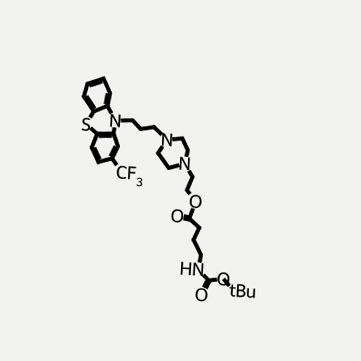 CC(C)(C)OC(=O)NCCCC(=O)OCCN1CCN(CCCN2c3ccccc3Sc3ccc(C(F)(F)F)cc32)CC1